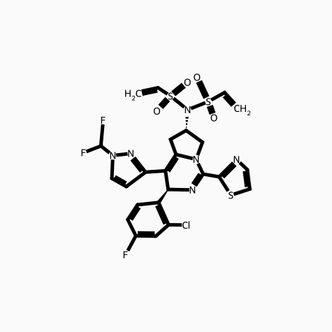 C=CS(=O)(=O)N([C@H]1CC2=C(c3ccn(C(F)F)n3)[C@H](c3ccc(F)cc3Cl)N=C(c3nccs3)N2C1)S(=O)(=O)C=C